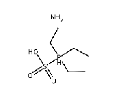 CC[PH](CC)(CC)S(=O)(=O)O.N